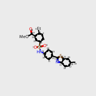 CCc1ccc(S(=O)(=O)Nc2ccc(-c3nc4ccc(C)cc4s3)cc2)cc1C(=O)OC